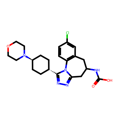 O=C(O)NC1Cc2cc(Cl)ccc2-n2c(nnc2[C@H]2CC[C@H](N3CCOCC3)CC2)C1